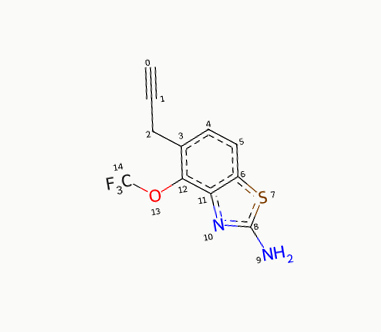 C#CCc1ccc2sc(N)nc2c1OC(F)(F)F